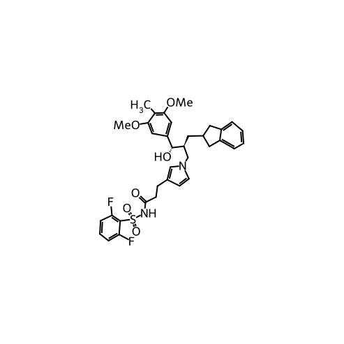 COc1cc([C@@H](O)[C@@H](CC2Cc3ccccc3C2)Cn2ccc(CCC(=O)NS(=O)(=O)c3c(F)cccc3F)c2)cc(OC)c1C